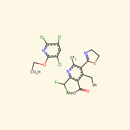 COC(=O)c1c(C(F)F)nc(C(F)(F)F)c(C2=NCCS2)c1CC(C)C.O=C(O)COc1nc(Cl)c(Cl)cc1Cl